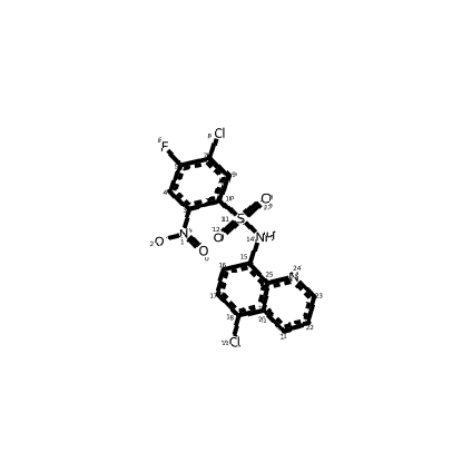 O=[N+]([O-])c1cc(F)c(Cl)cc1S(=O)(=O)Nc1ccc(Cl)c2cccnc12